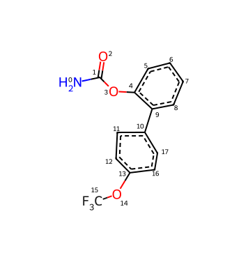 NC(=O)Oc1ccccc1-c1ccc(OC(F)(F)F)cc1